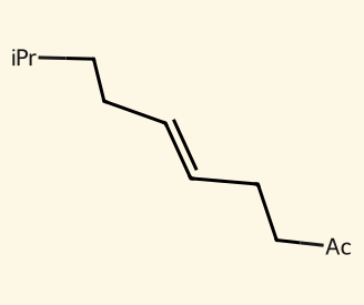 CC(=O)CCC=CCCC(C)C